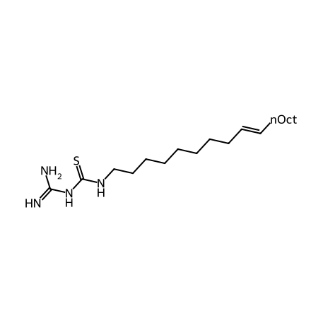 CCCCCCCCC=CCCCCCCCCNC(=S)NC(=N)N